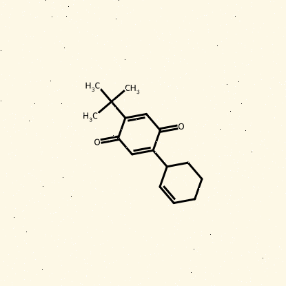 CC(C)(C)C1=CC(=O)C(C2C=CCCC2)=CC1=O